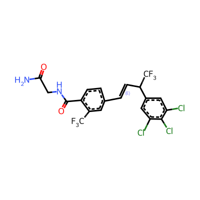 NC(=O)CNC(=O)c1ccc(/C=C/C(c2cc(Cl)c(Cl)c(Cl)c2)C(F)(F)F)cc1C(F)(F)F